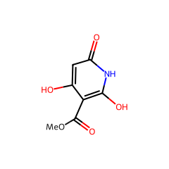 COC(=O)c1c(O)cc(=O)[nH]c1O